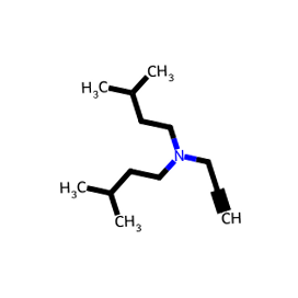 C#CCN(CCC(C)C)CCC(C)C